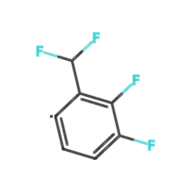 Fc1cc[c]c(C(F)F)c1F